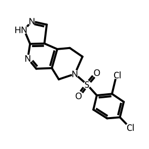 O=S(=O)(c1ccc(Cl)cc1Cl)N1CCc2c(cnc3[nH]ncc23)C1